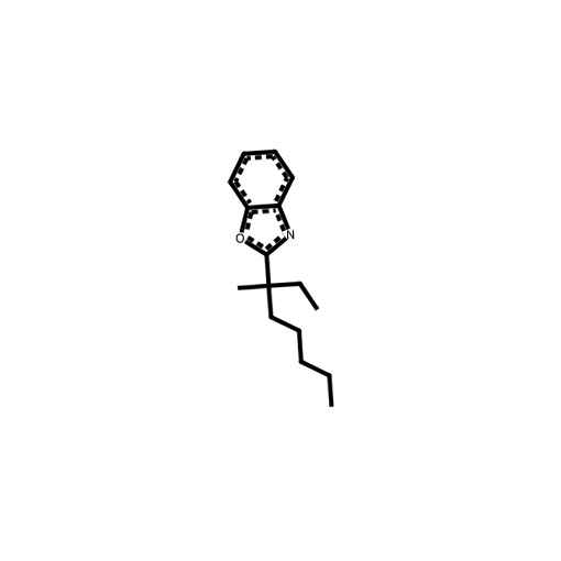 CCCCCC(C)(CC)c1nc2ccccc2o1